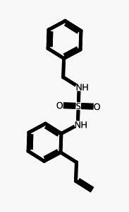 C=CCc1ccccc1NS(=O)(=O)NCc1ccccc1